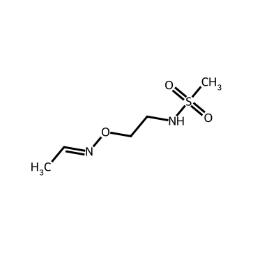 CC=NOCCNS(C)(=O)=O